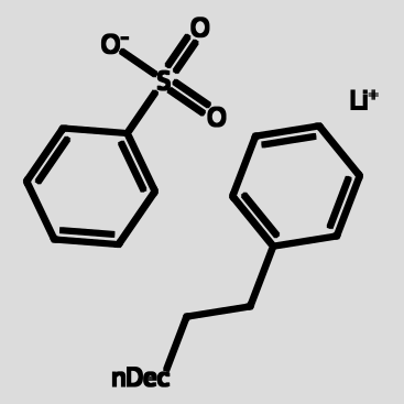 CCCCCCCCCCCCc1ccccc1.O=S(=O)([O-])c1ccccc1.[Li+]